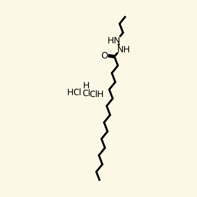 CCCCCCCCCCCCCCCC(=O)NNCCC.Cl.Cl.Cl